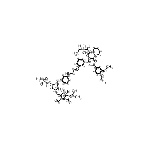 CCC(C)(C)C(=O)C(=O)N1CCCC[C@H]1C(=O)O[C@H](CCc1ccc(OC)c(OC)c1)c1cccc(OCCNc2cc(CN3C[C@@H](SC4=C(C=O)N5C(=O)[C@H]([C@@H](C)O)[C@H]5[C@H]4C)C[C@H]3CNS(N)(=O)=O)ccn2)c1